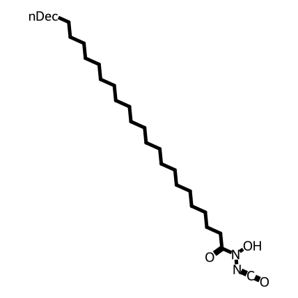 CCCCCCCCCCCCCCCCCCCCCCCCCCCCCCCC(=O)N(O)N=C=O